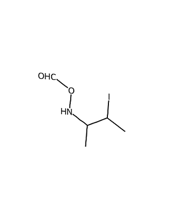 CC(I)C(C)NOC=O